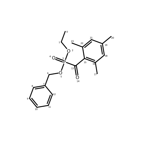 CCOP(=O)(OCc1ccccc1)C(=O)c1c(C)cc(C)cc1C